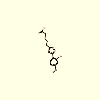 COc1ccc(-c2cc(CCCCC(=O)O)no2)c(O)c1